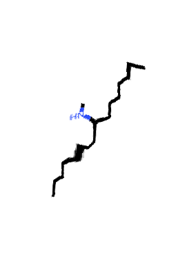 CCCCCCCC(CCCCCCC)NC